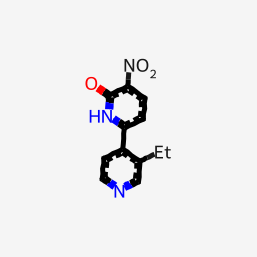 CCc1cnccc1-c1ccc([N+](=O)[O-])c(=O)[nH]1